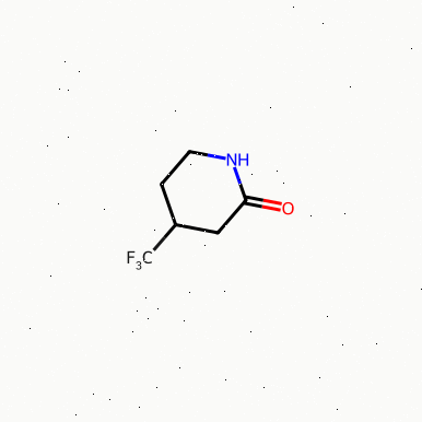 O=C1CC(C(F)(F)F)CCN1